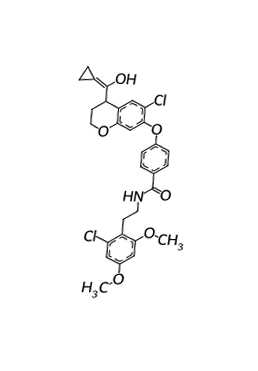 COc1cc(Cl)c(CCNC(=O)c2ccc(Oc3cc4c(cc3Cl)C(C(O)=C3CC3)CCO4)cc2)c(OC)c1